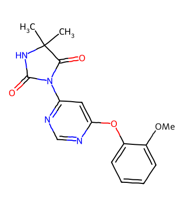 COc1ccccc1Oc1cc(N2C(=O)NC(C)(C)C2=O)ncn1